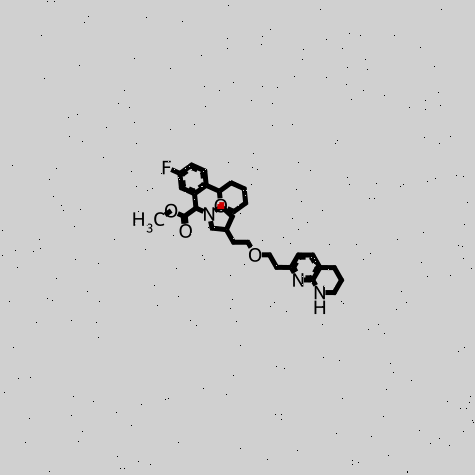 COC(=O)C(c1cc(F)ccc1C1CCCCO1)N1CCC(CCOCCc2ccc3c(n2)NCCC3)C1